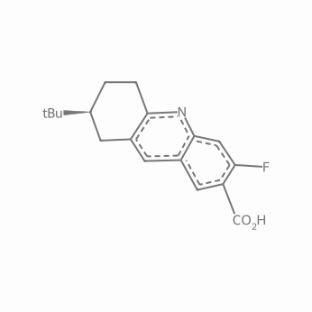 CC(C)(C)[C@H]1CCc2nc3cc(F)c(C(=O)O)cc3cc2C1